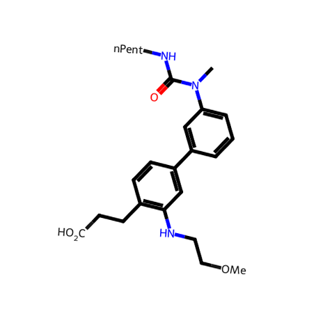 CCCCCNC(=O)N(C)c1cccc(-c2ccc(CCC(=O)O)c(NCCOC)c2)c1